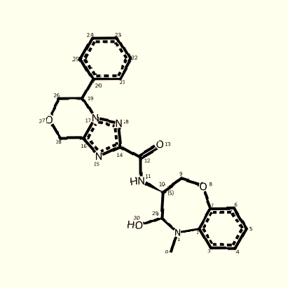 CN1c2ccccc2OC[C@H](NC(=O)c2nc3n(n2)C(c2ccccc2)COC3)C1O